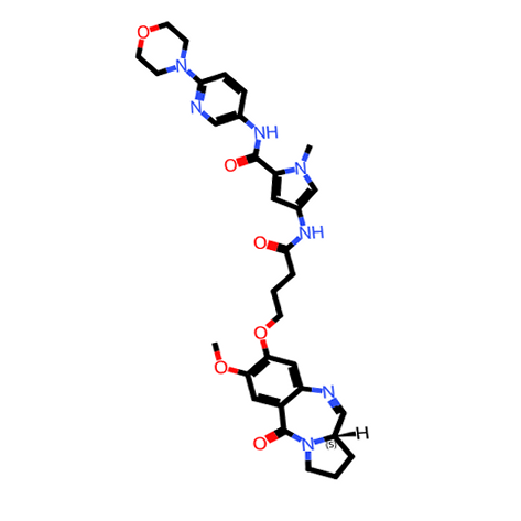 COc1cc2c(cc1OCCCC(=O)Nc1cc(C(=O)Nc3ccc(N4CCOCC4)nc3)n(C)c1)N=C[C@@H]1CCCN1C2=O